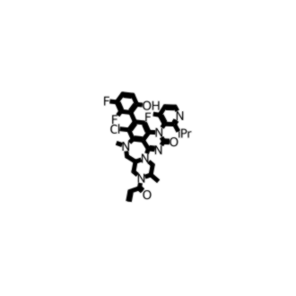 C=CC(=O)N1CC2CN(C)c3c(Cl)c(-c4c(O)ccc(F)c4F)c(F)c4c3c(nc(=O)n4-c3c(C)ccnc3C(C)C)N2CC1C